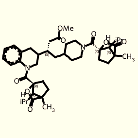 COC(=O)C[C@H](CC1CCN(C(=O)[C@]23CCC(C)(C(=O)O2)[C@H]3C(C)C)CC1)C1Cc2ccccc2N(C(=O)[C@]23CCC(C)(C(=O)O2)[C@H]3C(C)C)C1